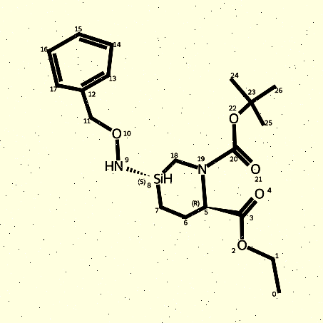 CCOC(=O)[C@H]1CC[Si@H](NOCc2ccccc2)CN1C(=O)OC(C)(C)C